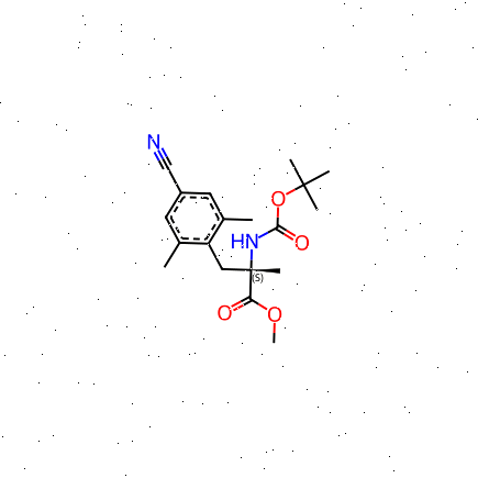 COC(=O)[C@](C)(Cc1c(C)cc(C#N)cc1C)NC(=O)OC(C)(C)C